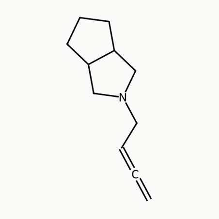 C=C=CCN1CC2CCCC2C1